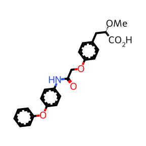 CO[C@@H](Cc1ccc(OCC(=O)Nc2ccc(Oc3ccccc3)cc2)cc1)C(=O)O